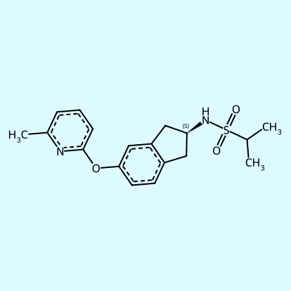 Cc1cccc(Oc2ccc3c(c2)C[C@@H](NS(=O)(=O)C(C)C)C3)n1